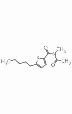 CCCCCc1ccc(C(=O)N(C)C(C)=O)s1